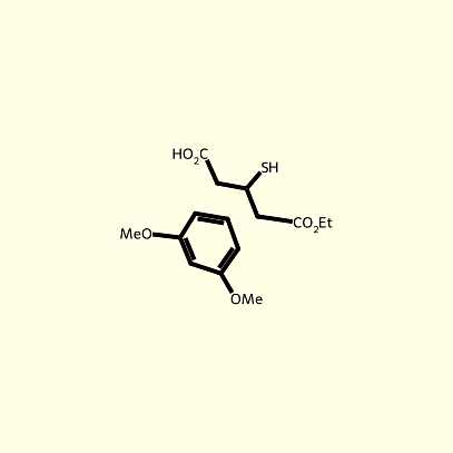 CCOC(=O)CC(S)CC(=O)O.COc1cccc(OC)c1